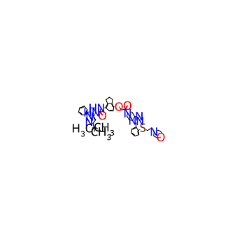 CC(C)(C)c1cc(NC(=O)Nc2ccc(OCC(=O)N3CCn4c(nnc4-c4ccccc4SCCN4CCOCC4)C3)c3c2CCC3)n(-c2ccccc2)n1